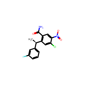 C[C@H](c1cccc(F)c1)c1cc(Cl)c([N+](=O)[O-])cc1C(N)=O